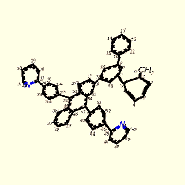 CC1C=CC=CC1c1cc(-c2ccccc2)cc(-c2ccc3c(-c4ccc(-c5ccccn5)cc4)c4ccccc4c(-c4ccc(-c5ccccn5)cc4)c3c2)c1